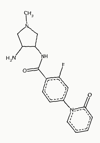 CN1CC(N)C(NC(=O)c2ccc(-n3ccccc3=O)cc2F)C1